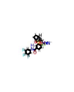 [N-]=[N+]=NC[C@@]1(O)CC2CC[C@@H](C1)[C@H]2S(=O)(=O)c1cc(C(=O)Nc2cc(F)c(F)c(F)c2)ccc1Cl